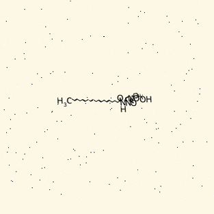 CCC=CCC=CCC=CCC=CCC=CCCCC(=O)Nc1ccn([C@@H]2CC[C@@H](CO)O2)c(=O)n1